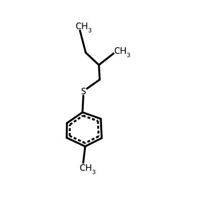 CCC(C)CSc1ccc(C)cc1